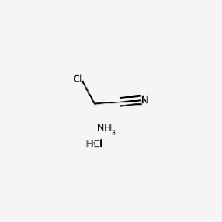 Cl.N.N#CCCl